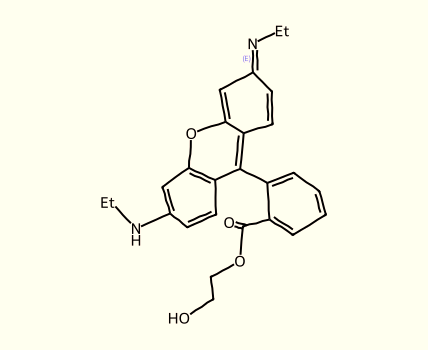 CC/N=c1\ccc2c(-c3ccccc3C(=O)OCCO)c3ccc(NCC)cc3oc-2c1